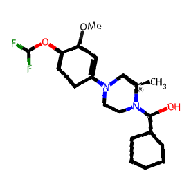 COC1C=C(N2CCN(C(O)C3CCCCC3)[C@H](C)C2)CCC1OC(F)F